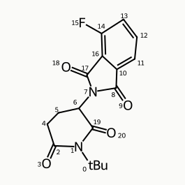 CC(C)(C)N1C(=O)CCC(N2C(=O)c3cccc(F)c3C2=O)C1=O